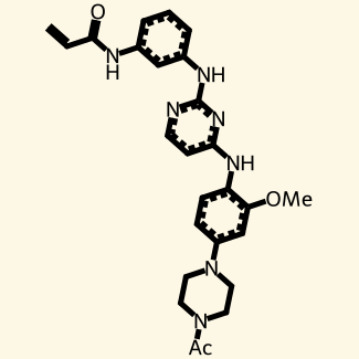 C=CC(=O)Nc1cccc(Nc2nccc(Nc3ccc(N4CCN(C(C)=O)CC4)cc3OC)n2)c1